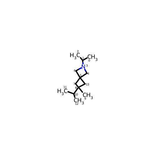 CC(C)N1CC2(C1)CC(C)(C(C)C)C2